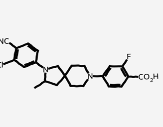 CC1CC2(CCN(c3ccc(C(=O)O)c(F)c3)CC2)CN1c1ccc(C#N)c(Cl)c1